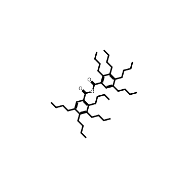 CCCCc1cc(C(=O)OC(=O)c2cc(CCCC)c(CCCC)c(CCCC)c2CCCC)c(CCCC)c(CCCC)c1CCCC